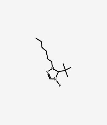 CCCCCCN1N=CN(F)C1C(C)(C)C